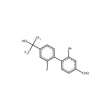 CC(C)c1cc(C=O)ccc1-c1ccc(C(O)(C(F)(F)F)C(F)(F)F)cc1F